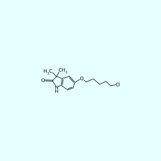 CC1(C)C(=O)Nc2ccc(OCCCCCCl)cc21